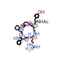 CC(=O)N[C@@H](Cc1ccc(O)cc1)C(=O)N[C@H]1CCCNC(=O)[C@H](CCCNC(=N)N)NC(=O)[C@H](Cc2c[nH]c3ccccc23)NC(=O)[C@@H](CC2CCCCC2)NC(=O)[C@@H]2CCCN2C1=O